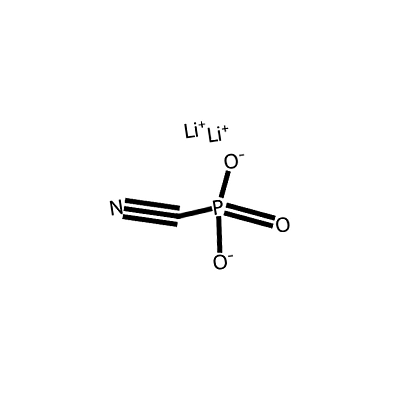 N#CP(=O)([O-])[O-].[Li+].[Li+]